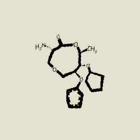 C[C@@H]1OC(=O)[C@@H](N)COC[C@H](Oc2ccccc2)[C@H]1OC1CCCC1